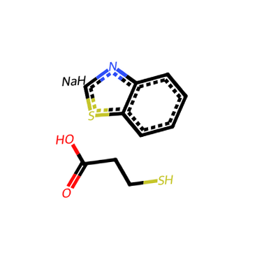 O=C(O)CCS.[NaH].c1ccc2scnc2c1